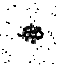 CCC[C@H]1C(=O)N[C@H]([C@@H](O)[C@@H]2C=CCCC2)[C@@]1(C)OC=O